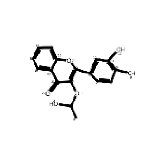 CC(O)Oc1c(-c2ccc(O)c(O)c2)oc2ccccc2c1=O